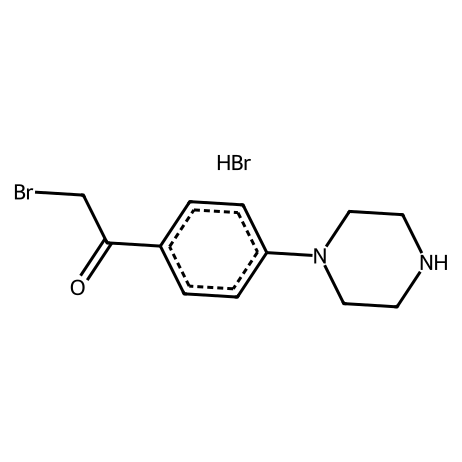 Br.O=C(CBr)c1ccc(N2CCNCC2)cc1